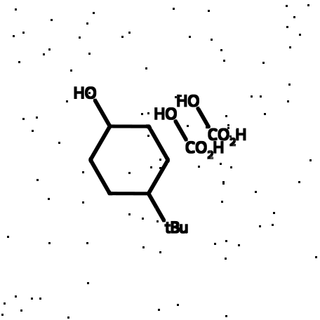 CC(C)(C)C1CCC(O)CC1.O=C(O)O.O=C(O)O